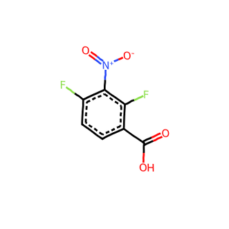 O=C(O)c1ccc(F)c([N+](=O)[O-])c1F